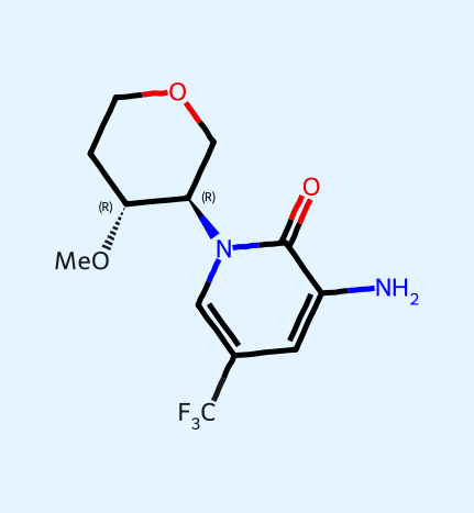 CO[C@@H]1CCOC[C@H]1n1cc(C(F)(F)F)cc(N)c1=O